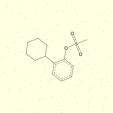 CS(=O)(=O)Oc1ccccc1C1CCCCC1